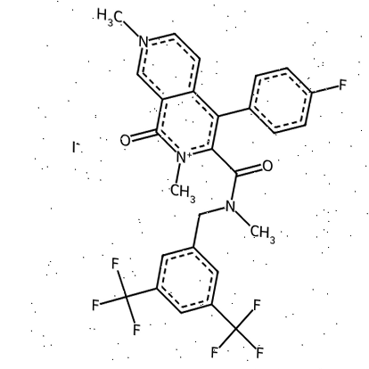 CN(Cc1cc(C(F)(F)F)cc(C(F)(F)F)c1)C(=O)c1c(-c2ccc(F)cc2)c2ccn(C)cc-2c(=O)[n+]1C.[I-]